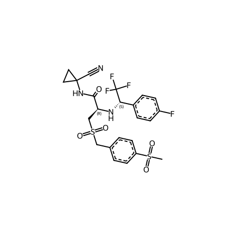 CS(=O)(=O)c1ccc(CS(=O)(=O)C[C@H](N[C@@H](c2ccc(F)cc2)C(F)(F)F)C(=O)NC2(C#N)CC2)cc1